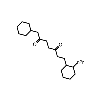 CCCC1CCCCC1CCC(=O)CCC(=O)CC1CCCCC1